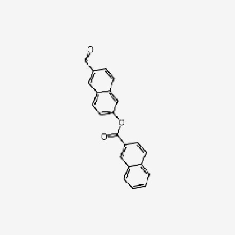 O=Cc1ccc2cc(OC(=O)c3ccc4ccccc4c3)ccc2c1